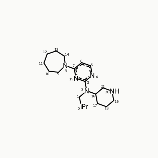 CC(C)CN(c1nccc(N2CCCCCC2)n1)C1CCCNC1